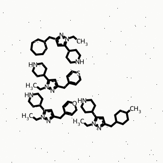 CCn1nc(CC2=CCOC=C2)cc1C1CCNCC1.CCn1nc(CC2=CCSC=C2)cc1C1CCNCC1.CCn1nc(CC2CCC(C)CC2)cc1C1CCNCC1.CCn1nc(CC2CCCCCC2)cc1C1CCNCC1